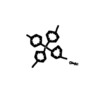 CC(=O)[O-].Cc1ccc([P+](c2ccc(C)cc2)(c2ccc(C)cc2)c2ccc(C)cc2)cc1